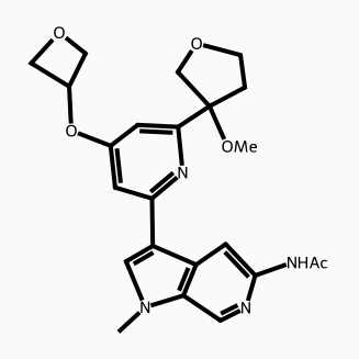 COC1(c2cc(OC3COC3)cc(-c3cn(C)c4cnc(NC(C)=O)cc34)n2)CCOC1